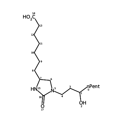 CCCCCC(O)CCN1CC(CCCCCCC(=O)O)NC1=O